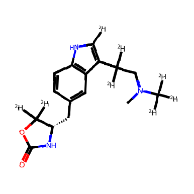 [2H]c1[nH]c2ccc(C[C@@H]3NC(=O)OC3([2H])[2H])cc2c1C([2H])([2H])CN(C)C([2H])([2H])[2H]